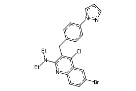 CCN(CC)c1nc2ccc(Br)cc2c(Cl)c1Cc1ccc(-n2cccn2)cc1